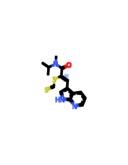 CC(C)N(C)C(=O)/C(=C/c1c[nH]c2ncccc12)SC=S